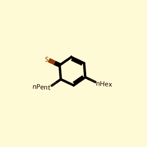 CCCCCCC1=CC(CCCCC)C(=S)[C]=C1